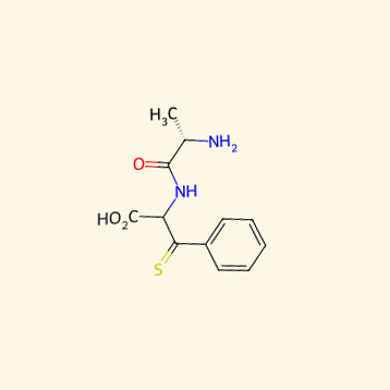 C[C@H](N)C(=O)NC(C(=O)O)C(=S)c1ccccc1